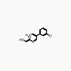 C\C=C(/C=N\C(Cl)=C\O)c1cccc(Cl)c1